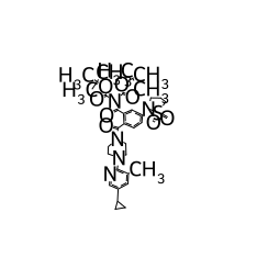 Cc1cc(C2CC2)cnc1N1CCN(C(=O)c2ccc(N3CCCS3(=O)=O)cc2C(=O)N(C(=O)OC(C)(C)C)C(=O)OC(C)(C)C)CC1